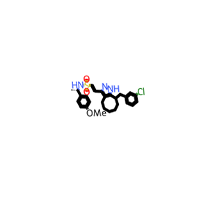 COc1ccc([C@H](C)NS(=O)(=O)/C=C/c2n[nH]c3c2CCCCCC3Cc2cccc(Cl)c2)cc1